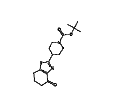 CC(C)(C)OC(=O)N1CCC(c2nc3c(s2)CCCC3=O)CC1